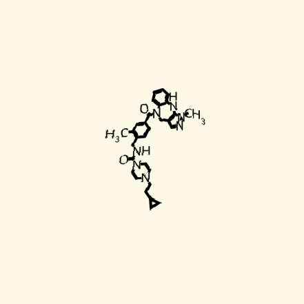 Cc1cc(C(=O)N2Cc3cnn(C)c3Nc3ccccc32)ccc1CNC(=O)N1CCN(CCC2CC2)CC1